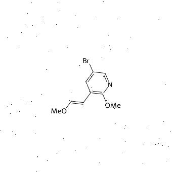 COC=Cc1cc(Br)cnc1OC